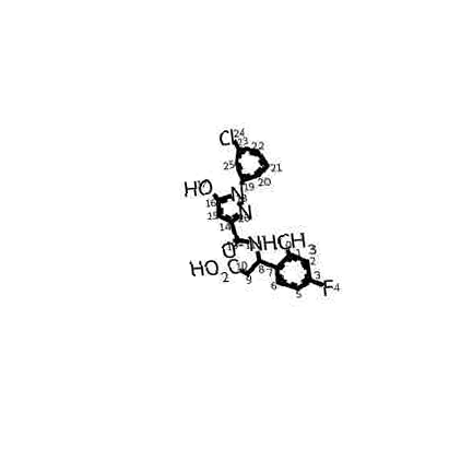 Cc1cc(F)ccc1C(CC(=O)O)NC(=O)c1cc(O)n(-c2cccc(Cl)c2)n1